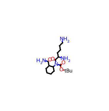 CC(C)(C)OC(=O)N(C(=O)C(N)CCCCN)C1CCCCC1C(N)=O